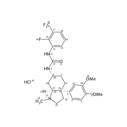 COc1ccc([C@@]23CC[C@@H](NC(=O)Nc4cccc(C(F)(F)F)c4F)C[C@@H]2N(C)CC3)cc1OC.Cl